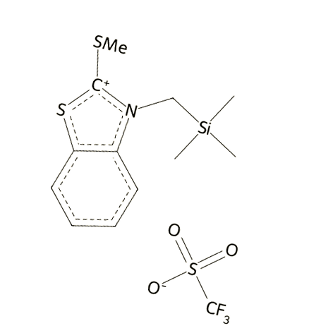 CS[c+]1sc2ccccc2n1C[Si](C)(C)C.O=S(=O)([O-])C(F)(F)F